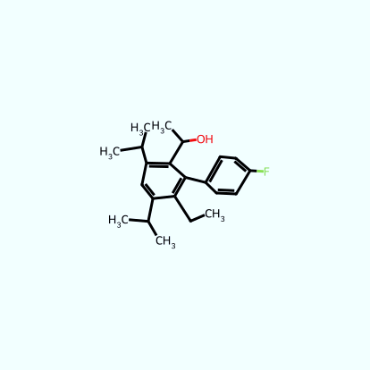 CCc1c(C(C)C)cc(C(C)C)c(C(C)O)c1-c1ccc(F)cc1